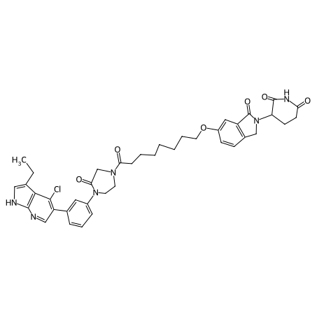 CCc1c[nH]c2ncc(-c3cccc(N4CCN(C(=O)CCCCCCCOc5ccc6c(c5)C(=O)N(C5CCC(=O)NC5=O)C6)CC4=O)c3)c(Cl)c12